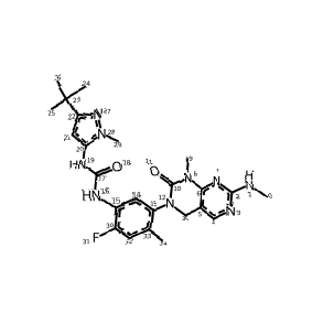 CNc1ncc2c(n1)N(C)C(=O)N(c1cc(NC(=O)Nc3cc(C(C)(C)C)nn3C)c(F)cc1C)C2